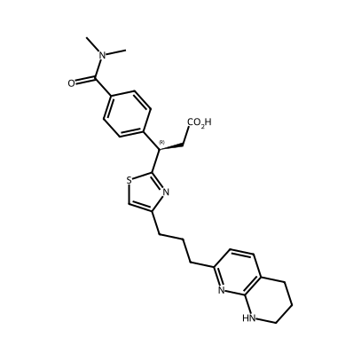 CN(C)C(=O)c1ccc([C@@H](CC(=O)O)c2nc(CCCc3ccc4c(n3)NCCC4)cs2)cc1